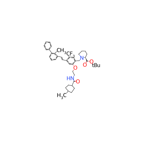 Cc1c(/C=C/c2cc(OCCNC(=O)C3CCC(C)CC3)c(CN3CCCC[C@H]3C(=O)OC(C)(C)C)cc2C(F)(F)F)cccc1-c1ccccc1